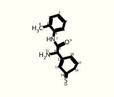 Cc1ccccc1NC(=O)C(N)C1=CC(=S)CC=C1